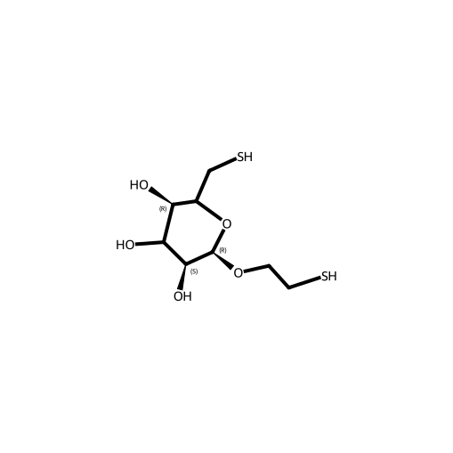 OC1[C@@H](O)C(CS)O[C@@H](OCCS)[C@H]1O